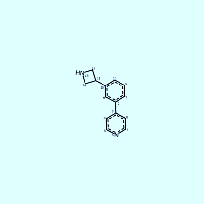 c1cc(-c2ccncc2)cc(C2CNC2)c1